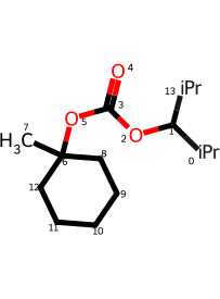 CC(C)C(OC(=O)OC1(C)CCCCC1)C(C)C